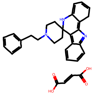 C1=CCC2=C3N=c4ccccc4=C3C3(CCN(CCc4ccccc4)CC3)NC2=C1.O=C(O)C=CC(=O)O